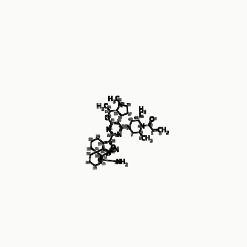 C=CC(=O)N1[C@@H](C)CN(c2cc(O[C@@H](C)[C@@H]3CCCN3C)nc(-c3onc4c3CCC[C@@]43CCCc4sc(N)c(C#N)c43)n2)C[C@@H]1C